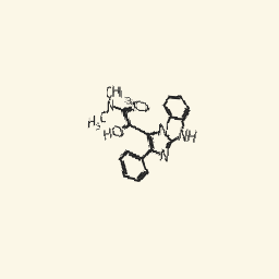 CN(C)C(=O)C(O)c1c(-c2ccccc2)nc2[nH]c3ccccc3n12